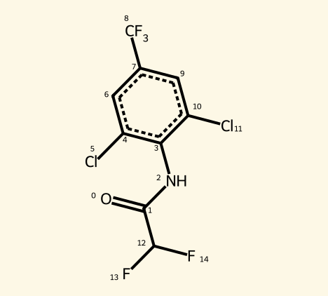 O=C(Nc1c(Cl)cc(C(F)(F)F)cc1Cl)C(F)F